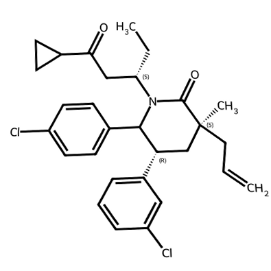 C=CC[C@@]1(C)C[C@H](c2cccc(Cl)c2)C(c2ccc(Cl)cc2)N([C@@H](CC)CC(=O)C2CC2)C1=O